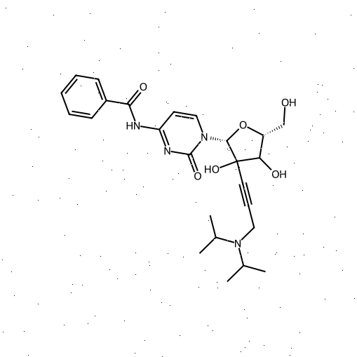 CC(C)N(CC#CC1(O)C(O)[C@@H](CO)O[C@H]1n1ccc(NC(=O)c2ccccc2)nc1=O)C(C)C